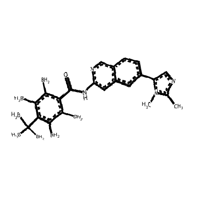 Bc1c(B)c(C(B)(B)B)c(B)c(B)c1C(=O)Nc1cc2cc(-c3cnc(C)n3C)ccc2cn1